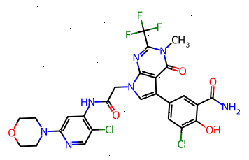 Cn1c(C(F)(F)F)nc2c(c(-c3cc(Cl)c(O)c(C(N)=O)c3)cn2CC(=O)Nc2cc(N3CCOCC3)ncc2Cl)c1=O